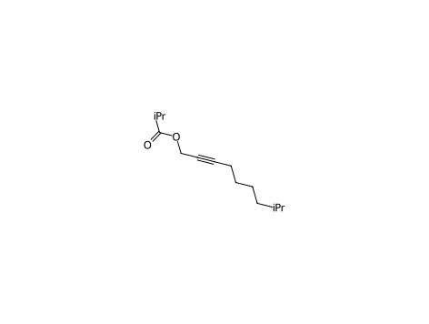 CC(C)CCCCC#CCOC(=O)C(C)C